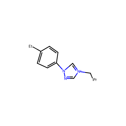 CCc1ccc(-n2c[n+](CC(C)C)cn2)cc1